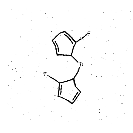 FC1=CC=C[CH]1[Ti][CH]1C=CC=C1F